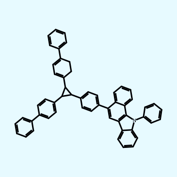 C1=C(c2ccccc2)CCC(C2C(c3ccc(-c4ccccc4)cc3)C2c2ccc(-c3cc4c5ccccc5n(-c5ccccc5)c4c4ccccc34)cc2)=C1